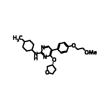 COCCOc1ccc(-c2cnc(NC3CCC(C)CC3)nc2O[C@@H]2CCOC2)cc1